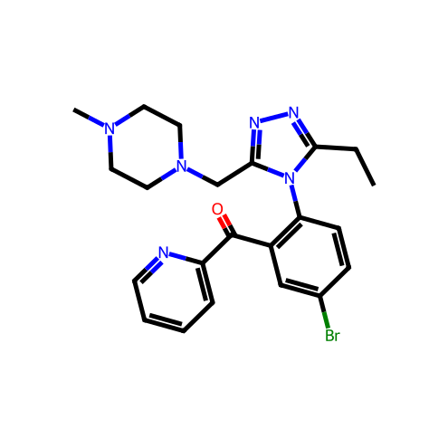 CCc1nnc(CN2CCN(C)CC2)n1-c1ccc(Br)cc1C(=O)c1ccccn1